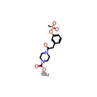 CC(C)(C)OC(=O)N1CCN(C(=O)Cc2cccc(OS(C)(=O)=O)c2)CC1